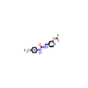 O=C(NCc1ccnc(OC(F)F)c1)NC12CCC(C(F)(F)F)(CC1)CC2